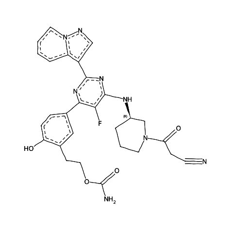 N#CCC(=O)N1CCC[C@@H](Nc2nc(-c3cnn4ccccc34)nc(-c3ccc(O)c(CCOC(N)=O)c3)c2F)C1